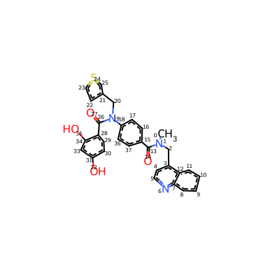 CN(Cc1ccnc2ccccc12)C(=O)c1ccc(N(Cc2ccsc2)C(=O)c2ccc(O)cc2O)cc1